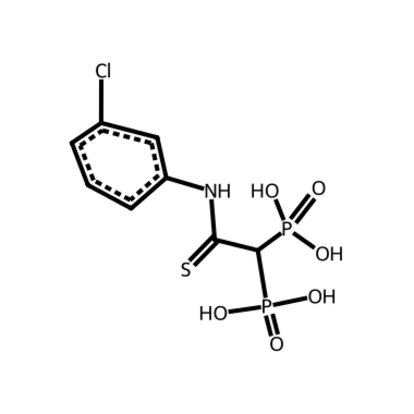 O=P(O)(O)C(C(=S)Nc1cccc(Cl)c1)P(=O)(O)O